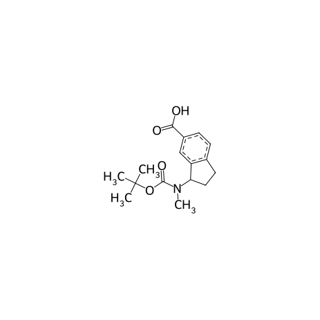 CN(C(=O)OC(C)(C)C)C1CCc2ccc(C(=O)O)cc21